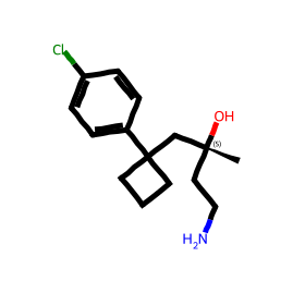 C[C@@](O)(CCN)CC1(c2ccc(Cl)cc2)CCC1